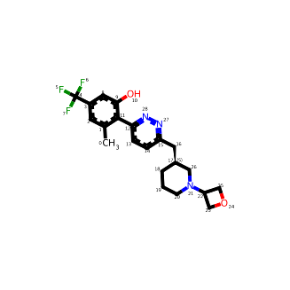 Cc1cc(C(F)(F)F)cc(O)c1-c1ccc(C[C@@H]2CCCN(C3COC3)C2)nn1